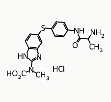 CC(N)C(=O)Nc1ccc(Sc2ccc3[nH]c(N(C)C(=O)O)nc3c2)cc1.Cl